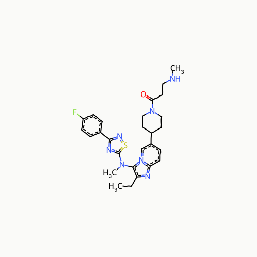 CCc1nc2ccc(C3CCN(C(=O)CCNC)CC3)cn2c1N(C)c1nc(-c2ccc(F)cc2)ns1